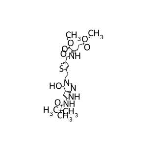 CCOC(=O)CC[C@@H](NC(=O)c1csc(CCN2C=Nc3[nH]c(NC(=O)C(C)(C)C)cc3C2O)c1)C(=O)OCC